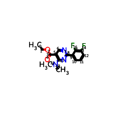 CCOC(=O)c1cnc(-c2cccc(F)c2F)nc1N(C)C